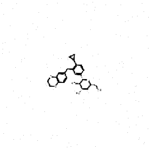 OC[C@@H]1C[C@H](O)[C@@H](O)[C@H](c2ccc(C3CC3)c(Cc3ccc4c(c3)OCCO4)c2)O1